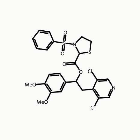 COc1ccc(C(Cc2c(Cl)cncc2Cl)OC(=O)C2SCCN2S(=O)(=O)c2ccccc2)cc1OC